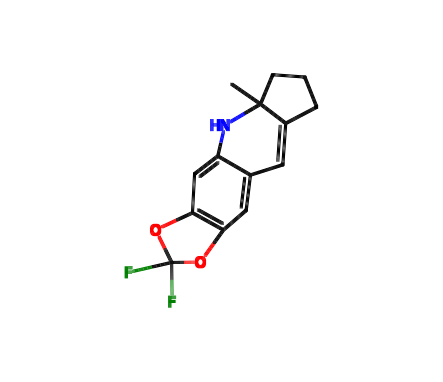 CC12CCCC1=Cc1cc3c(cc1N2)OC(F)(F)O3